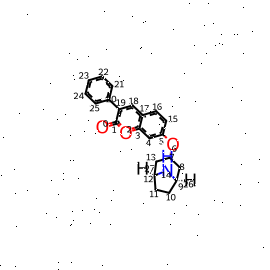 O=c1oc2cc(O[C@@H]3C[C@H]4CC[C@@H](C3)N4)ccc2cc1-c1ccccc1